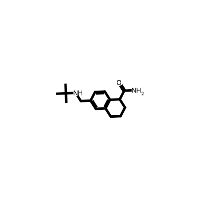 CC(C)(C)NCc1ccc2c(c1)CCCC2C(N)=O